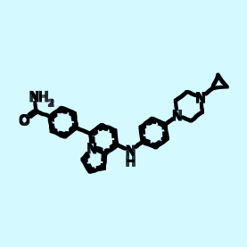 NC(=O)c1ccc(-c2ccc(Nc3ccc(N4CCN(C5CC5)CC4)cc3)c3cccn23)cc1